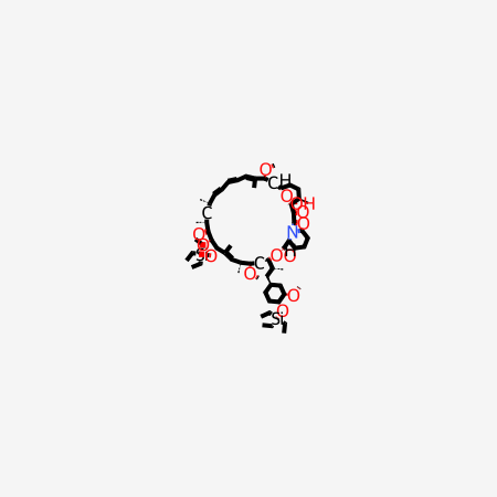 CC[Si](CC)(CC)O[C@@H]1/C(C)=C/[C@@H](C)[C@H](OC)C[C@@H]([C@H](C)C[C@@H]2CC[C@@H](O[Si](CC)(CC)CC)[C@H](OC)C2)OC(=O)[C@@H]2CCCCN2C(=O)C(=O)[C@]2(O)O[C@@H](CC[C@H]2C)C[C@H](OC)/C(C)=C/C=C/C=C/[C@@H](C)C[C@@H](C)C(=O)[C@@H]1OC